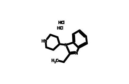 CCc1nc2ccccc2n1C1CCNCC1.Cl.Cl